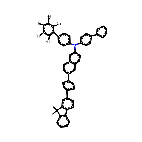 [2H]c1c([2H])c([2H])c(-c2ccc(N(c3ccc(-c4ccccc4)cc3)c3ccc4cc(-c5ccc(-c6ccc7c(c6)C(C)(C)c6ccccc6-7)cc5)ccc4c3)cc2)c([2H])c1[2H]